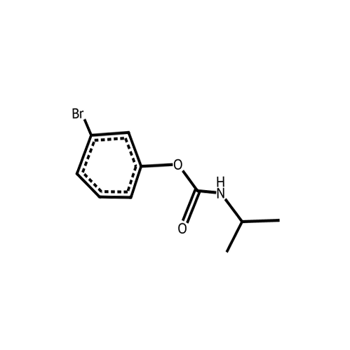 CC(C)NC(=O)Oc1cccc(Br)c1